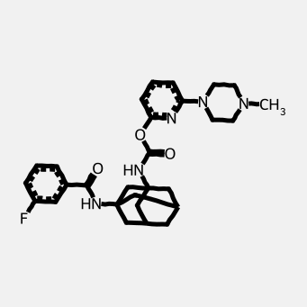 CN1CCN(c2cccc(OC(=O)NC34CC5CC(C3)CC(NC(=O)c3cccc(F)c3)(C5)C4)n2)CC1